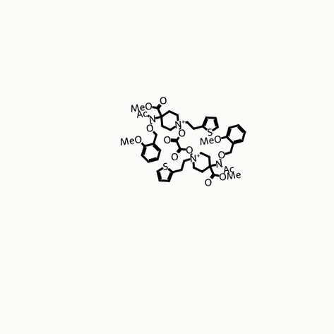 COC(=O)C1(N(OCc2ccccc2OC)C(C)=O)CC[N+](CCc2cccs2)(OC(=O)C(=O)O[N+]2(CCc3cccs3)CCC(C(=O)OC)(N(OCc3ccccc3OC)C(C)=O)CC2)CC1